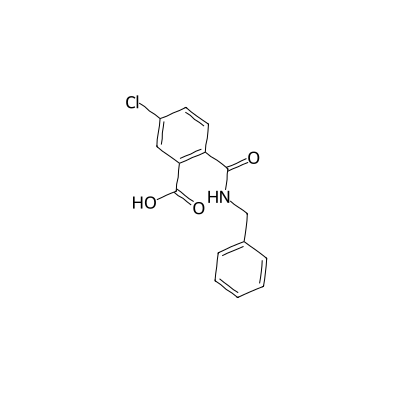 O=C(O)c1cc(Cl)ccc1C(=O)NCc1ccccc1